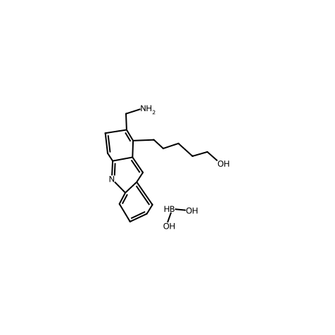 NCc1ccc2nc3ccccc3cc2c1CCCCCO.OBO